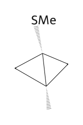 CS[C@]12C[C@@]1(C)C2